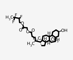 C[C@H](CCC(=O)OCC(=O)OCC(F)C(C)(F)F)[C@H]1CC[C@H]2[C@@H]3CC[C@@H]4C[C@H](O)CC[C@]4(C)[C@H]3CC[C@]12C